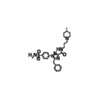 CC1CCN(CCCNC(=O)c2nc(Cc3ccccc3)n(-c3ccc(S(N)(=O)=O)cc3)n2)CC1